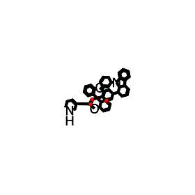 C1=CCC(N2c3ccccc3C3C=CCC(C4C=CC5=C(C4)Oc4ccccc4C54c5ccc(C6=CCCNC6)cc5OC5C=CC=CC54)C32)C=C1